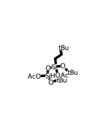 CC(=O)O[SiH](OC(C)(C)C)O[Si](CCC(C)(C)C)(OC(C)=O)OC(C)(C)C